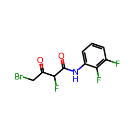 O=C(CBr)C(F)C(=O)Nc1cccc(F)c1F